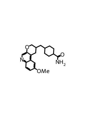 COc1ccc2ncc3c(c2c1)CC(CC1CCC(C(N)=O)CC1)CO3